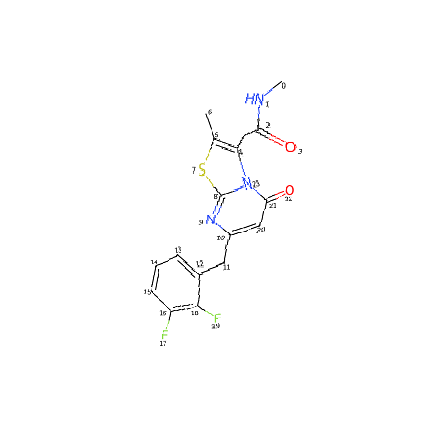 CNC(=O)c1c(C)sc2nc(Cc3cccc(F)c3F)cc(=O)n12